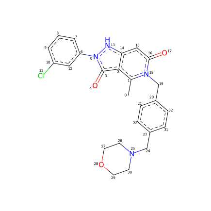 Cc1c2c(=O)n(-c3cccc(Cl)c3)[nH]c2cc(=O)n1Cc1ccc(CN2CCOCC2)cc1